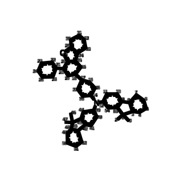 CC1(C)c2ccccc2-c2ccc(N(c3ccc(-c4cc(-c5ccccc5)c5oc6ccccc6c5c4)cc3)c3ccc4c(c3)C(C)(C)c3ccccc3-4)cc21